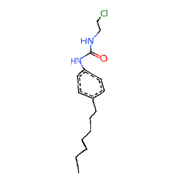 CCCCCCCc1ccc(NC(=O)NCCCl)cc1